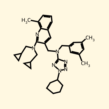 Cc1cc(C)cc(CN(Cc2cc3cccc(C)c3nc2N(CC2CC2)CC2CC2)c2nnn(C3CCCCC3)n2)c1